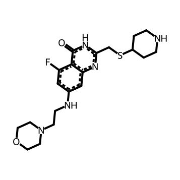 O=c1[nH]c(CSC2CCNCC2)nc2cc(NCCN3CCOCC3)cc(F)c12